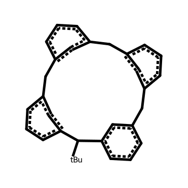 CC(C)(C)C1c2cccc(c2)Cc2cccc(c2)Cc2cccc(c2)Cc2cccc1c2